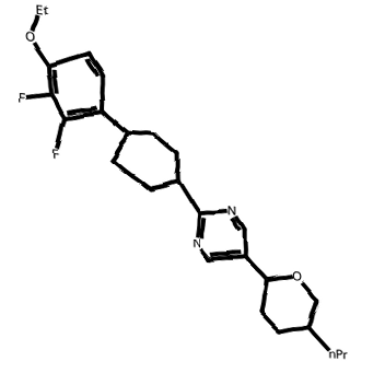 CCCC1CCC(c2cnc(C3CCC(c4ccc(OCC)c(F)c4F)CC3)nc2)OC1